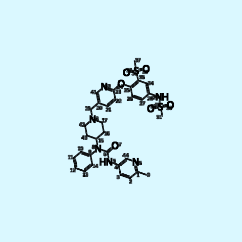 Cc1ccc(NC(=O)N(c2ccccc2)C2CCN(Cc3ccc(Oc4ccc(NS(C)(=O)=O)cc4S(C)(=O)=O)nc3)CC2)cn1